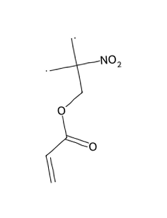 [CH2]C([CH2])(COC(=O)C=C)[N+](=O)[O-]